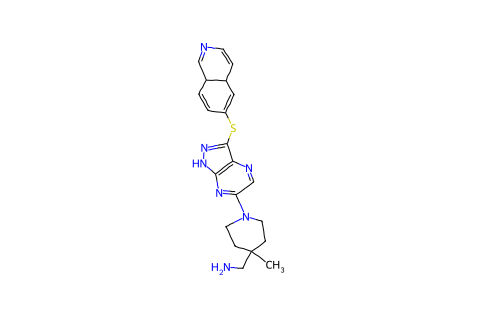 CC1(CN)CCN(c2cnc3c(SC4=CC5C=CN=CC5C=C4)n[nH]c3n2)CC1